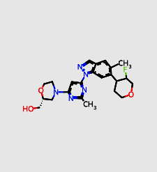 Cc1nc(N2CCO[C@@H](CO)C2)cc(-n2ncc3cc(C)c(C4CCOCC4F)cc32)n1